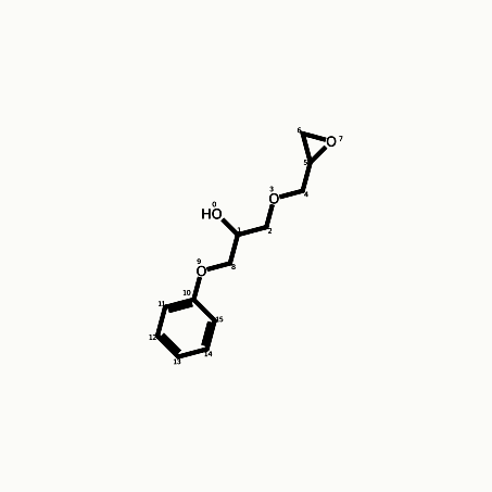 OC(COCC1CO1)COc1ccccc1